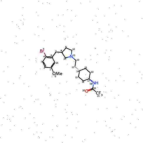 COc1ccc(Br)c(CC2CCN(CC[C@H]3CC[C@H](NC(=O)C(F)(F)F)CC3)C2)c1